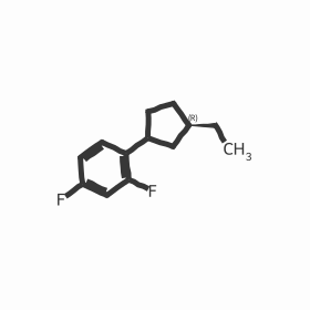 CC[C@@H]1CCC(c2ccc(F)cc2F)C1